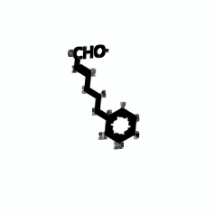 O=[C]C=CCCCc1ccccc1